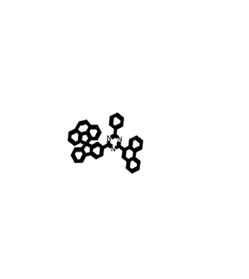 c1ccc(-c2nc(-c3ccc4c(c3)C3(c5ccccc5-4)c4cccc5ccc6cccc3c6c45)nc(-c3cc4ccccc4c4ccccc34)n2)cc1